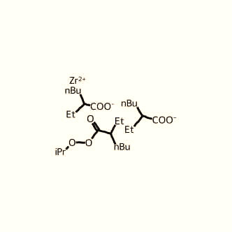 CCCCC(CC)C(=O)OOC(C)C.CCCCC(CC)C(=O)[O-].CCCCC(CC)C(=O)[O-].[Zr+2]